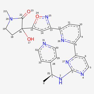 C[C@H](Nc1nccc(-c2cccc(-c3cc(C4(O)CCN(C)C4=O)on3)n2)n1)c1ccncc1